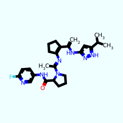 C=C(Nc1cc(C(C)C)[nH]n1)C1=C(/N=C(\C)N2CCCC2C(=O)Nc2ccc(F)nc2)CCC1